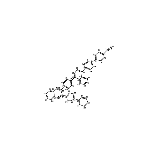 N#Cc1ccc(-c2ccc(-c3ccc(-c4ccc(-c5nc6ccccc6nc5-c5ccc(-c6ccccc6)cc5)cc4)c4ccccc34)cc2)cc1